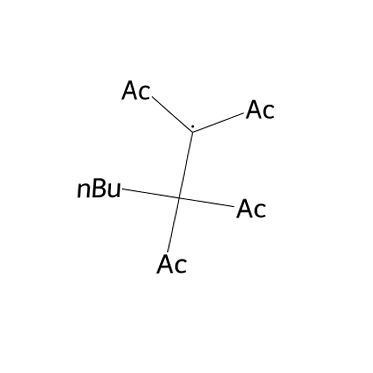 CCCCC([C](C(C)=O)C(C)=O)(C(C)=O)C(C)=O